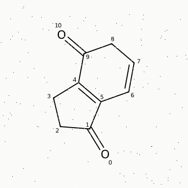 O=C1CCC2=C1C=CCC2=O